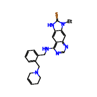 CCn1c(=S)[nH]c2cc3c(NCc4ccccc4CN4CC=CCC4)ncnc3cc21